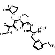 CC(C)C[C@H](NC(=O)[C@H](Cc1cccc(OC(F)(F)F)n1)NC(=O)O)C(=O)N[C@@H](C[C@@H]1CCNC1=O)C(=O)C(=O)NC(C)C